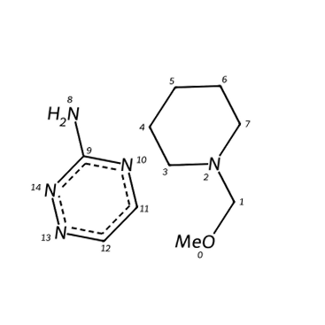 COCN1CCCCC1.Nc1nccnn1